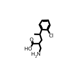 CC(CC(CN)C(=O)O)c1ccccc1Cl